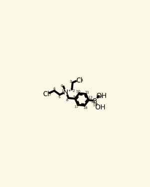 C[N+](CCCl)(CCCl)Cc1ccc(B(O)O)cc1